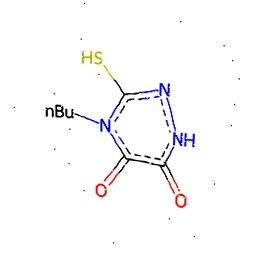 CCCCn1c(S)n[nH]c(=O)c1=O